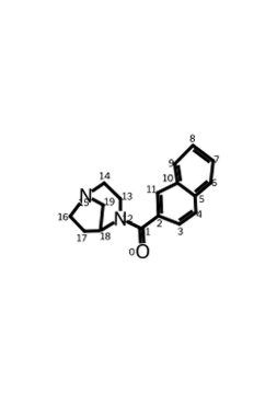 O=C(c1ccc2ccccc2c1)N1CCN2CCC1C2